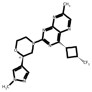 Cc1cnc2c(n1)nc(N1CCO[C@H](c3cnn(C)c3)C1)nc2[C@H]1C[C@@H](C(F)(F)F)C1